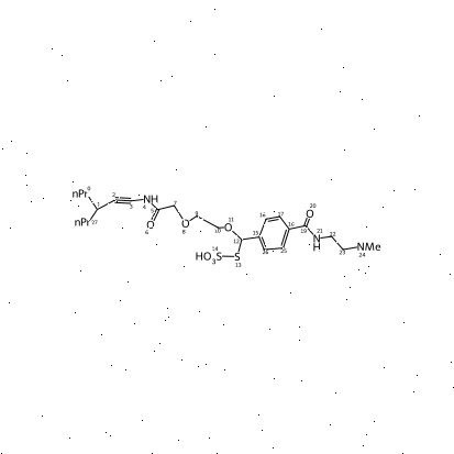 CCCC(C#CNC(=O)COCCOC(SS(=O)(=O)O)c1ccc(C(=O)NCCNC)cc1)CCC